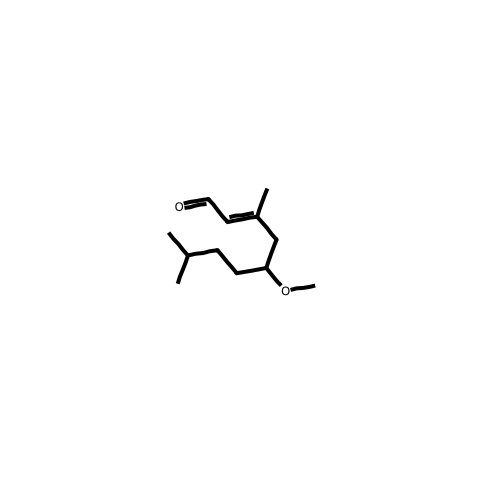 COC(CCC(C)C)CC(C)=CC=O